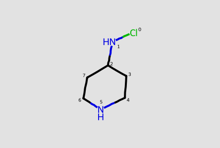 ClNC1CCNCC1